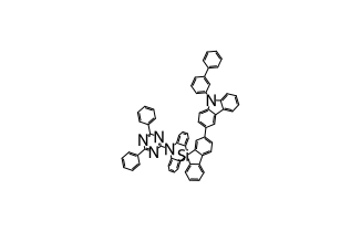 c1ccc(-c2cccc(-n3c4ccccc4c4cc(-c5ccc6c(c5)[Si]5(c7ccccc7-6)c6ccccc6N(c6nc(-c7ccccc7)nc(-c7ccccc7)n6)c6ccccc65)ccc43)c2)cc1